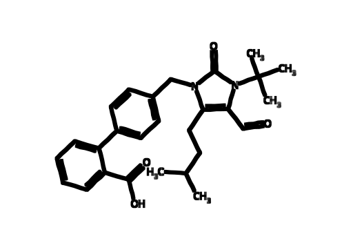 CC(C)CCc1c(C=O)n(C(C)(C)C)c(=O)n1Cc1ccc(-c2ccccc2C(=O)O)cc1